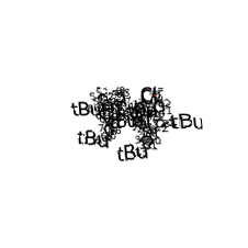 CC1C=C(C(C)(C)C)C=[C]1[Hf](=[C](c1ccccc1)c1ccccc1)[c]1cc(C(C)(C)C)cc2c1Cc1ccc(C(C)(C)C)cc1-2.CC1C=C(C(C)(C)C)C=[C]1[Hf](=[C](c1ccccc1)c1ccccc1)[c]1cc(C(C)(C)C)cc2c1Cc1ccc(C(C)(C)C)cc1-2.[Cl-].[Cl-]